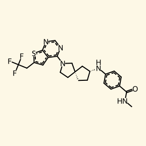 CNC(=O)c1ccc(N[C@@H]2CC[C@@]3(CCN(c4ncnc5sc(CC(F)(F)F)cc45)C3)C2)cc1